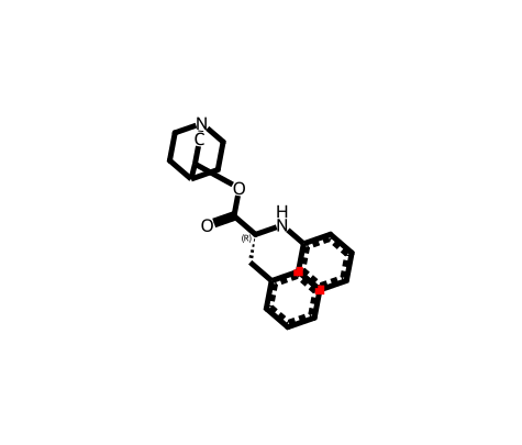 O=C(OC1CN2CCC1CC2)[C@@H](Cc1ccccc1)Nc1ccccc1